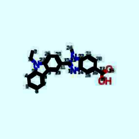 CCn1c2ccccc2c2cc(-c3nc4cc(C(=O)O)ccc4n3C)ccc21